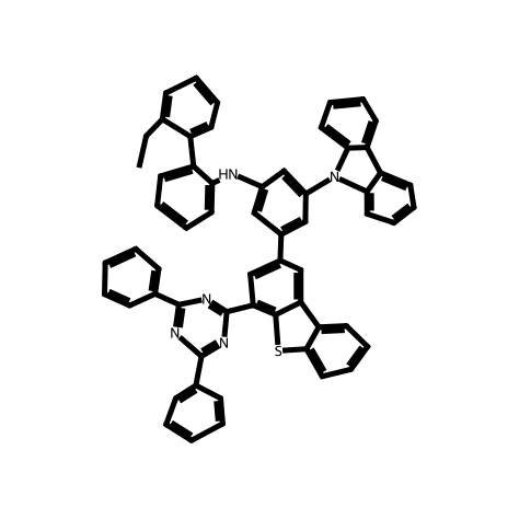 CCc1ccccc1-c1ccccc1Nc1cc(-c2cc(-c3nc(-c4ccccc4)nc(-c4ccccc4)n3)c3sc4ccccc4c3c2)cc(-n2c3ccccc3c3ccccc32)c1